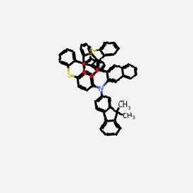 CC1(C)c2ccccc2-c2ccc(N(c3ccc4c(c3)C3(c5ccccc5S4)c4ccccc4-c4ccccc43)c3cc4ccccc4cc3-c3cccc4sc5ccccc5c34)cc21